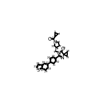 O=C(C1CC1)N1CC[C@@H](CN2C(=O)C3(CC3)N=C2c2ccc(-c3ccc4sccc4c3)cc2)C1